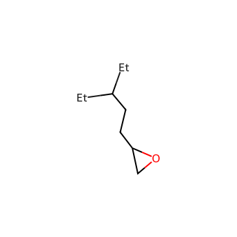 CCC(CC)CCC1CO1